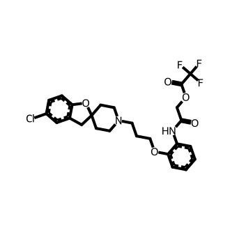 O=C(COC(=O)C(F)(F)F)Nc1ccccc1OCCCN1CCC2(CC1)Cc1cc(Cl)ccc1O2